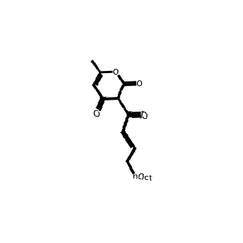 CCCCCCCCCC=CC(=O)C1C(=O)C=C(C)OC1=O